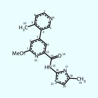 COc1cc(-c2cnccc2C)cc(C(=O)Nc2nc(C)cs2)n1